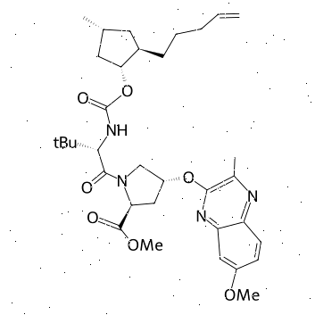 C=CCCC[C@@H]1C[C@@H](C)C[C@H]1OC(=O)N[C@H](C(=O)N1C[C@H](Oc2nc3cc(OC)ccc3nc2C)C[C@H]1C(=O)OC)C(C)(C)C